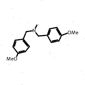 [CH2]N(Cc1ccc(OC)cc1)Cc1ccc(OC)cc1